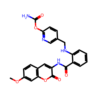 COc1ccc2cc(NC(=O)c3ccccc3NCc3ccc(OC(N)=O)nc3)c(=O)oc2c1